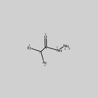 CCC(C(C)=O)C(=O)NN